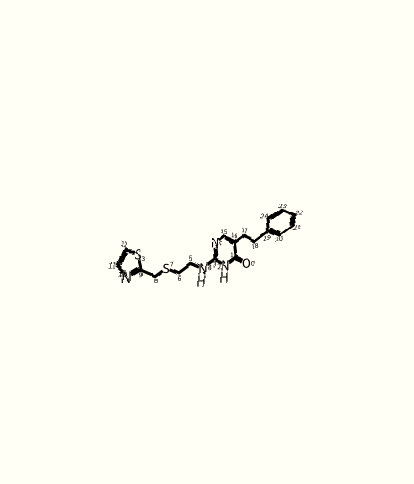 O=c1[nH]c(NCCSCc2nccs2)ncc1CCc1ccccc1